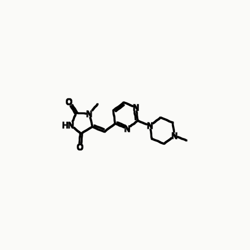 CN1CCN(c2nccc(C=C3C(=O)NC(=O)N3C)n2)CC1